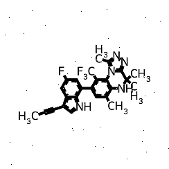 CC#Cc1c[nH]c2c(-c3cc(C)c4c(c3C(F)(F)F)-n3c(C)nnc3C(C)(C)N4)cc(F)cc12